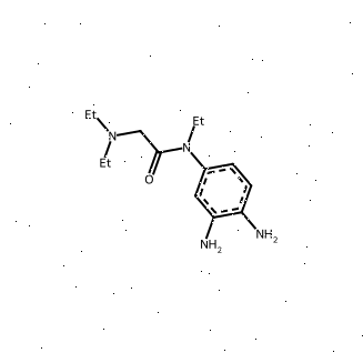 CCN(CC)CC(=O)N(CC)c1ccc(N)c(N)c1